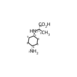 C[C@H](N[C@H]1CC[C@H](N)CC1)C(=O)O